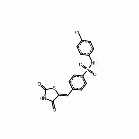 O=C1NC(=O)C(=Cc2ccc(S(=O)(=O)Nc3ccc(Cl)cc3)cc2)S1